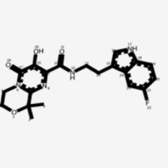 CC1(C)OCCn2c1nc(C(=O)NCCc1c[nH]c3ccc(F)cc13)c(O)c2=O